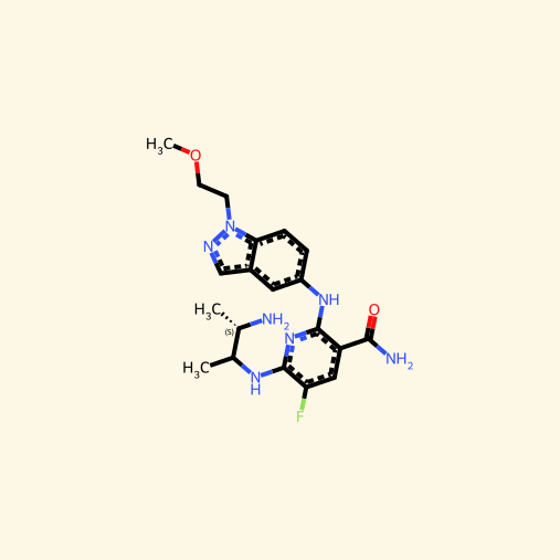 COCCn1ncc2cc(Nc3nc(NC(C)[C@H](C)N)c(F)cc3C(N)=O)ccc21